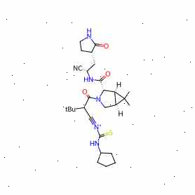 CC(C)(C)C(C#[N+]C(=S)NC1CCCC1)C(=O)N1C[C@H]2[C@@H]([C@H]1C(=O)N[C@H](C#N)C[C@@H]1CCNC1=O)C2(C)C